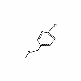 COCc1c[c]c(Cl)cc1